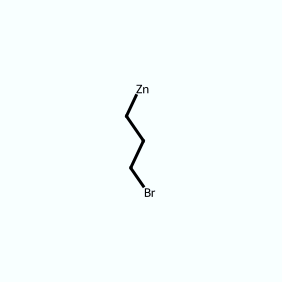 [Zn][CH2]CCBr